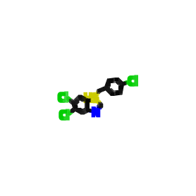 Clc1ccc(C[SH]2C=Nc3cc(Cl)c(Cl)cc32)cc1